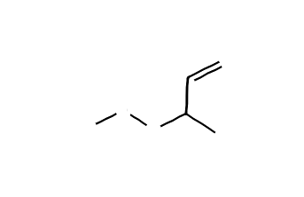 C=CC(C)OOCC